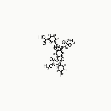 CNC(=O)c1c(-c2ccc(F)cc2)oc2cc([AsH]CS(C)(=O)=O)c(OCc3cccc(C(=O)O)c3)cc12